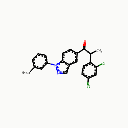 COc1cccc(-n2ncc3cc(C(=O)C(C)c4ccc(Cl)cc4Cl)ccc32)c1